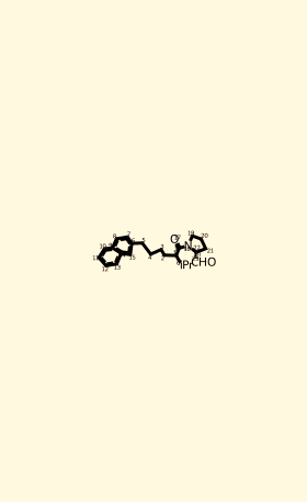 CC(C)C(CCCCc1ccc2ccccc2c1)C(=O)N1CCC[C@H]1C=O